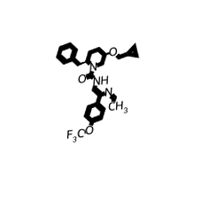 C/C=N\C(=C/NC(=O)N1C[C@H](OCC2CC2)CC[C@@H]1Cc1ccccc1)c1ccc(OC(F)(F)F)cc1